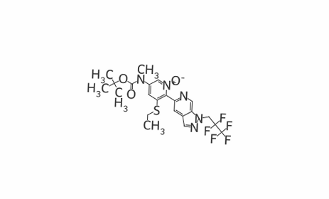 CCSc1cc(N(C)C(=O)OC(C)(C)C)c[n+]([O-])c1-c1cc2cnn(CC(F)(F)C(F)(F)F)c2cn1